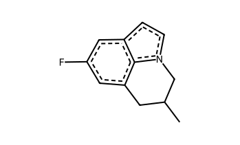 CC1Cc2cc(F)cc3ccn(c23)C1